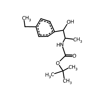 CCc1ccc(C(O)C(C)NC(=O)OC(C)(C)C)cc1